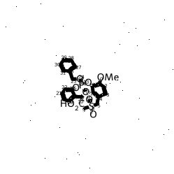 COc1ccc(CS(=O)(=O)CC(=O)O)cc1OP(=O)(OCc1ccccc1)OCc1ccccc1